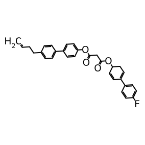 C=CCCc1ccc(-c2ccc(OC(=O)CC(=O)OC3C=CC(c4ccc(F)cc4)=CC3)cc2)cc1